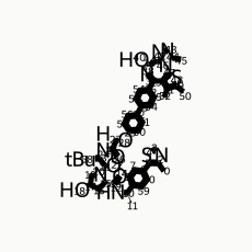 Cc1ncsc1-c1ccc([C@H](C)NC(=O)[C@@H]2C[C@@H](O)CN2C(=O)C(NC(=O)COc2ccc(-c3ccc(C4=NC(O)c5nnc(C)n5-c5sc(C)c(C)c54)cc3)cc2)C(C)(C)C)cc1